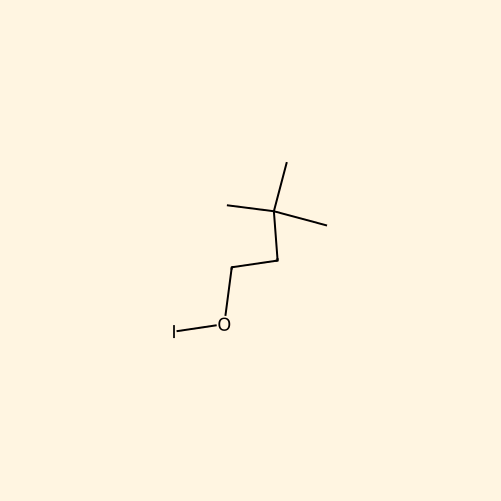 CC(C)(C)CCOI